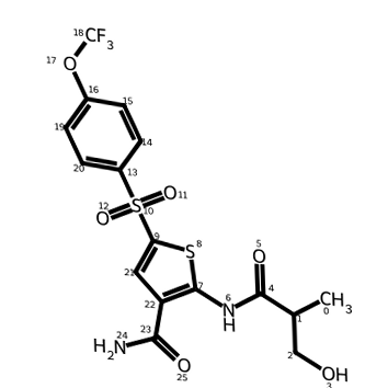 CC(CO)C(=O)Nc1sc(S(=O)(=O)c2ccc(OC(F)(F)F)cc2)cc1C(N)=O